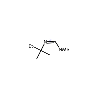 CCC(C)(C)/N=C\NC